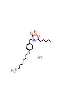 CCCCCC(=O)NC(Cc1ccc(OCCCCCCN)cc1)C(=O)O.Cl